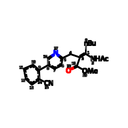 CCCC/C(NC(C)=O)=C(\Cc1ccc(-c2ccccc2C#N)cn1)C(=O)OC